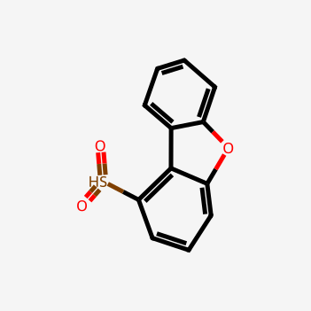 O=[SH](=O)c1cccc2oc3ccccc3c12